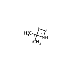 CC1(C)C[CH]N1